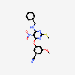 COc1cc(C#N)cc(Oc2nc(SC)nc(NCc3ccccc3)c2[N+](=O)[O-])c1